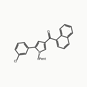 CCCCCn1cc(C(=O)c2cccc3ccccc23)cc1-c1cccc(Cl)c1